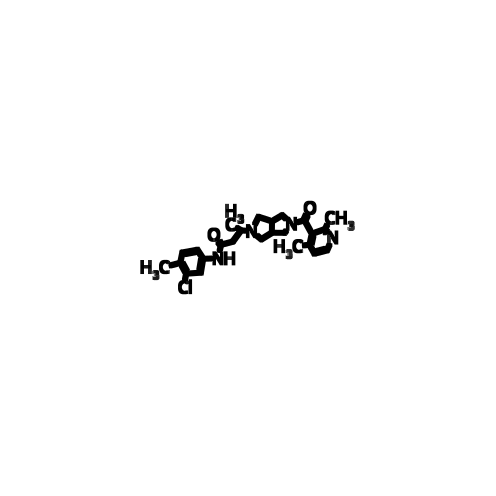 Cc1ccc(NC(=O)CC(C)N2CC3CN(C(=O)c4c(C)ccnc4C)CC3C2)cc1Cl